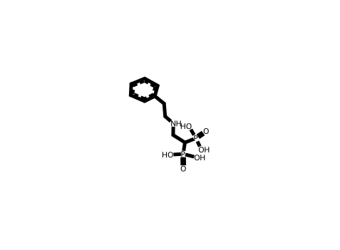 O=P(O)(O)C(CNCCc1ccccc1)P(=O)(O)O